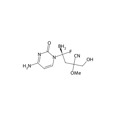 B[C@@](F)(CC(C#N)(CO)OC)n1ccc(N)nc1=O